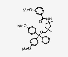 COc1ccc(C(OCC(C)(C)CC(C)(C)NC(=O)c2cccc(OC)c2)(c2ccccc2)c2ccc(OC)cc2)cc1